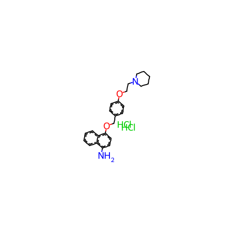 Cl.Cl.Nc1ccc(OCc2ccc(OCCN3CCCCC3)cc2)c2ccccc12